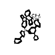 CC1(C)c2ccccc2C2(c3ccccc3-c3ccc(N(c4ccc(-c5ccccc5)cc4)c4cc(-c5ccccc5)cc(-c5ccccc5)c4)cc32)c2ccccc21